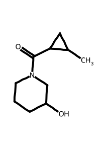 CC1CC1C(=O)N1CCCC(O)C1